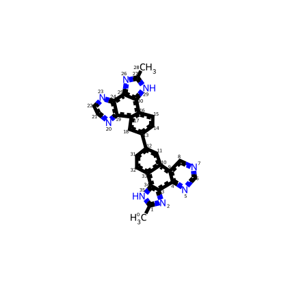 Cc1nc2c3ncncc3c3cc(-c4ccc5c(c4)c4nccnc4c4nc(C)[nH]c54)ccc3c2[nH]1